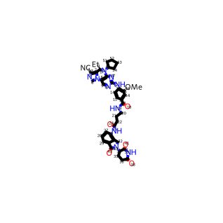 CC[C@@H]1c2c(C#N)ncn2-c2cnc(Nc3ccc(C(=O)NCCCC(=O)Nc4cccc5c4CN(C4CCC(=O)NC4=O)C5=O)cc3OC)nc2N1C1CCCC1